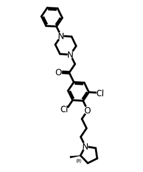 C[C@@H]1CCCN1CCCOc1c(Cl)cc(C(=O)CN2CCN(c3ccccc3)CC2)cc1Cl